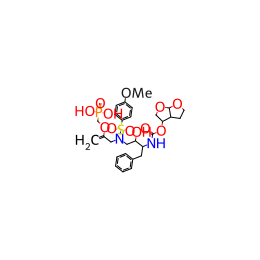 C=C(CN(CC(O)C(Cc1ccccc1)NC(=O)OC1COC2OCCC12)S(=O)(=O)c1ccc(OC)cc1)OCP(=O)(O)O